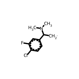 [CH2]C(c1ccc(Cl)c(F)c1)N(C)C